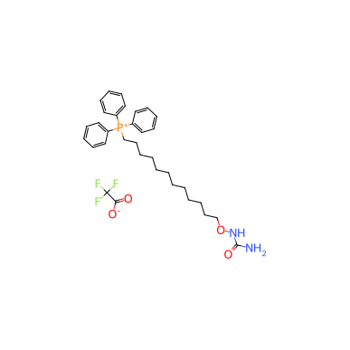 NC(=O)NOCCCCCCCCCCCC[P+](c1ccccc1)(c1ccccc1)c1ccccc1.O=C([O-])C(F)(F)F